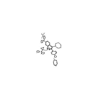 COC(=O)C1(Cn2c(-c3ccc(OCc4ccccc4)cc3)c(C3CCCCC3)c3ccc(C(=O)OC(C)(C)C)cc32)CC1